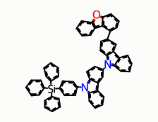 c1ccc([Si](c2ccccc2)(c2ccccc2)c2ccc(-n3c4ccccc4c4cc(-n5c6ccccc6c6cc(-c7cccc8oc9ccccc9c78)ccc65)ccc43)cc2)cc1